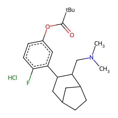 CN(C)CC1C2CCC(C2)CC1c1cc(OC(=O)C(C)(C)C)ccc1F.Cl